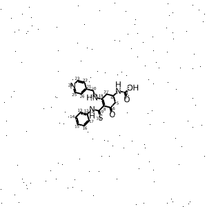 O=C(O)NC1CC(=O)C(C(=S)Nc2ccccc2)=C(NCc2ccncc2)C1